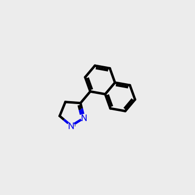 c1ccc2c(C3=N[N]CC3)cccc2c1